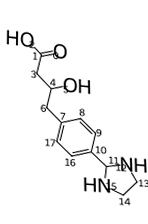 O=C(O)CC(O)Cc1ccc(C2NCCN2)cc1